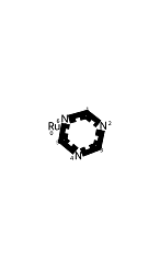 [Ru].c1ncncn1